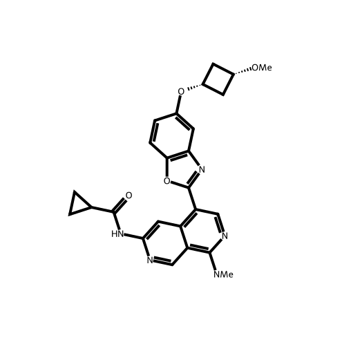 CNc1ncc(-c2nc3cc(O[C@H]4C[C@@H](OC)C4)ccc3o2)c2cc(NC(=O)C3CC3)ncc12